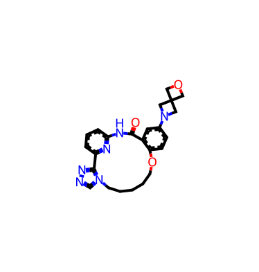 O=C1Nc2cccc(n2)-c2nncn2CCCCCOc2ccc(N3CC4(COC4)C3)cc21